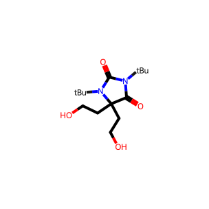 CC(C)(C)N1C(=O)N(C(C)(C)C)C(CCO)(CCO)C1=O